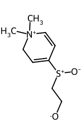 C[N+]1(C)C=CC([S+]([O-])CC[O])=CC1